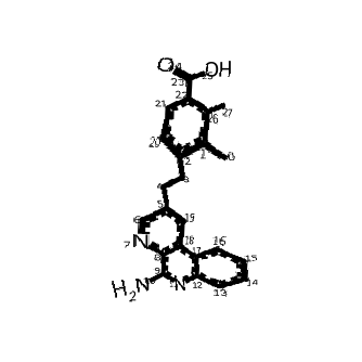 Cc1c(CCc2cnc3c(N)nc4ccccc4c3c2)ccc(C(=O)O)c1C